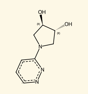 O[C@@H]1CN(c2cc[c]nn2)C[C@H]1O